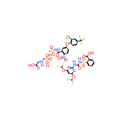 CS(=O)(=O)NC(=O)c1cc(Oc2ccc(C(F)(F)F)cc2Cl)ccc1[N+](=O)[O-].O=C(Nc1nc(OC(F)F)cc(OC(F)F)n1)NS(=O)(=O)c1ccccc1C(=O)O.O=C(O)CNCP(=O)(O)O